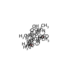 CCC1=C[C@@H]2C[N@](C1)Cc1c([nH]c3ccccc13)[C@@](C(=O)OC)(c1cc3c(cc1OC)N(C)[C@H]1[C@@](O)(C(=O)OC)[C@H](OC(C)=O)[C@]4(CC)C=CCN5CC[C@]31[C@@H]54)C2.CNC[C@H](O)c1ccc(O)c(O)c1